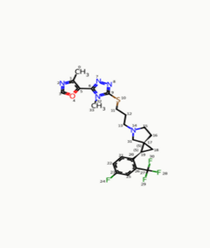 Cc1ncoc1-c1nnc(SCCCN2CC[C@]3(C[C@H]3c3ccc(F)cc3C(F)(F)F)C2)n1C